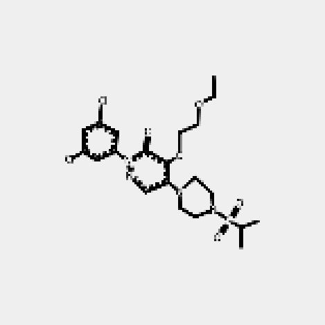 CCOCCOc1c(N2CCN(S(=O)(=O)C(C)C)CC2)cnn(-c2cc(Cl)cc(Cl)c2)c1=O